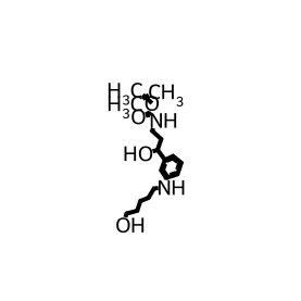 CC(C)(C)OC(=O)NCCC(O)c1cccc(NCCCCCO)c1